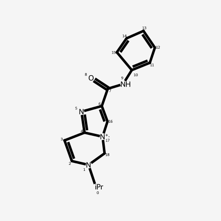 CC(C)N1C=CC2=NC(C(=O)Nc3ccccc3)=C[N+]2C1